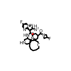 Nc1nn2cc(F)cnc2c1C(=O)NC1CNCC2(CCCCCCCCC2)C1N1CCC(C(=O)N2CC(F)C2)CC1